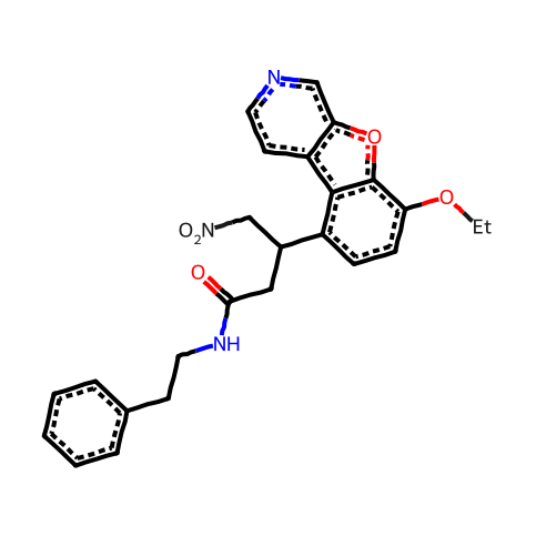 CCOc1ccc(C(CC(=O)NCCc2ccccc2)C[N+](=O)[O-])c2c1oc1cnccc12